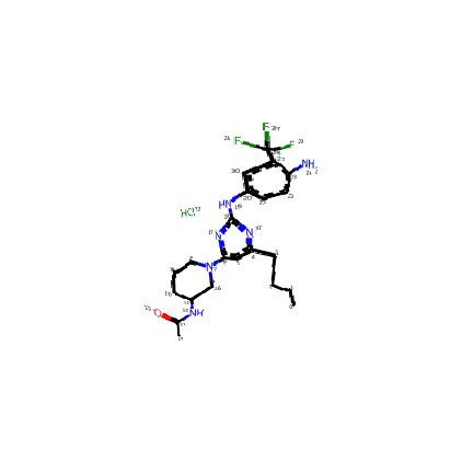 CCCCc1cc(N2CCCC(NC(C)=O)C2)nc(Nc2ccc(N)c(C(F)(F)F)c2)n1.Cl